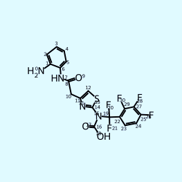 Nc1ccccc1NC(=O)Cc1csc(N(C(=O)O)C(F)(F)c2ccc(F)c(F)c2F)n1